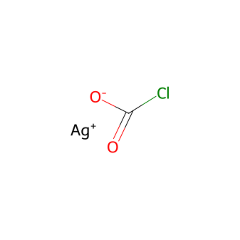 O=C([O-])Cl.[Ag+]